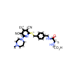 CCc1c(C#N)c(SCc2ccc(CNC(=O)[C@H](C)NC(=O)O)cc2)nc(N2CCCN(C)CC2)c1C#N